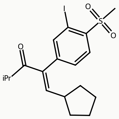 CC(C)C(=O)/C(=C/C1CCCC1)c1ccc(S(C)(=O)=O)c(I)c1